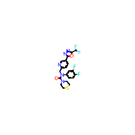 O=C(N1CCSCC1)N(Cc1ccc(-c2nnc(C(F)F)o2)cn1)c1ccc(F)c(F)c1